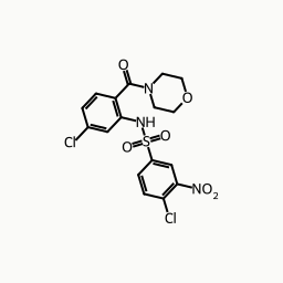 O=C(c1ccc(Cl)cc1NS(=O)(=O)c1ccc(Cl)c([N+](=O)[O-])c1)N1CCOCC1